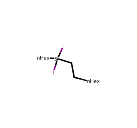 CCCCCCCC[Si](I)(I)CCCCCC